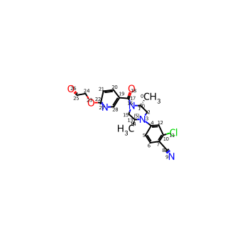 C[C@@H]1CN(c2ccc(C#N)c(Cl)c2)[C@@H](C)CN1C(=O)c1ccc(OCC=O)nc1